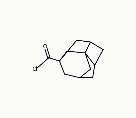 O=C(Cl)C12CC3CC4CC(C1)C4(C3)C2